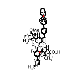 COC(=O)NC(C(=O)NC(Cc1ccc(-c2ccc(N3CC4CCC(C3)N4C3COC3)nc2)cc1)C(O)CN(Cc1c(F)cc(-c2ccn(C)n2)cc1F)NC(=O)C(NC(=O)O)C(C)(C)C(F)(F)F)C(C)(C)C(F)(F)F